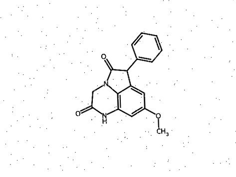 COc1cc2c3c(c1)C(c1ccccc1)C(=O)N3CC(=O)N2